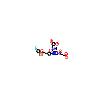 COC(=O)CCCC(=O)N1CC2CC(c3ccc(CCCOc4cc(F)ccc4Br)cc3)=C(C(=O)N(Cc3cc(OC)cc(OC)c3)C3CC3)C(C1)N2